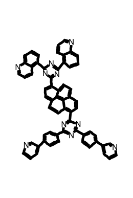 c1cncc(-c2ccc(-c3nc(-c4ccc(-c5cccnc5)cc4)nc(-c4ccc5ccc6c(-c7nc(-c8cccc9ncccc89)nc(-c8cccc9ncccc89)n7)ccc7ccc4c5c76)n3)cc2)c1